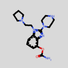 NC(=O)Oc1cccc2c1nc(N1CCNCC1)n2CCN1CCCC1